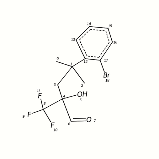 CC(C)(CC(O)(C=O)C(F)(F)F)c1ccccc1Br